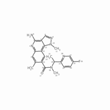 Cc1cc2nc(N)c3cnn(C)c3c2cc1C(=O)N(C)C(C)c1ccc(F)cn1